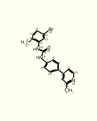 Cc1cc(-c2ccc(NC(=O)Nc3cc(Br)ccc3C)cc2)ccn1